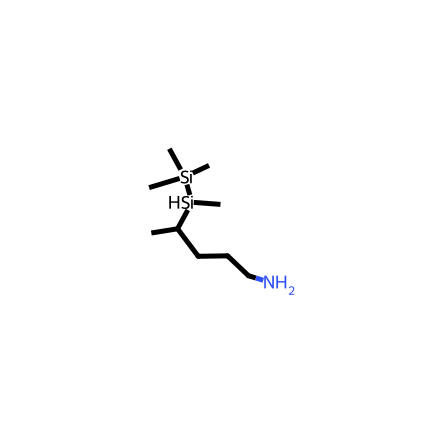 CC(CCCN)[SiH](C)[Si](C)(C)C